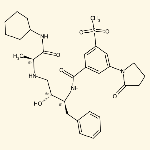 C[C@H](NC[C@@H](O)[C@H](Cc1ccccc1)NC(=O)c1cc(N2CCCC2=O)cc(S(C)(=O)=O)c1)C(=O)NC1CCCCC1